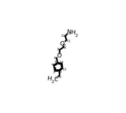 C=Cc1ccc(COCCOCCN)cc1